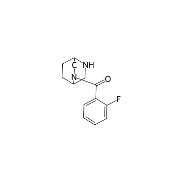 O=C(c1ccccc1F)N1CC2CCC1CN2